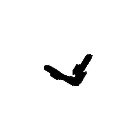 Cl.Cl.Cl.Cl.Cl.Cl.Cl.Cl.Cl.Cl.Cl.Cl.Cl.Cl.Cl.Cl.Cl.Cl.Cl.Cl.[Cl-].[Cl-].[Cl-].[Cl-].[Cl-].[Cl-].[Cl-].[Cl-].[Cl-].[Cl-].[Cl-].[Cl-].[Cl-].[Cl-].[Cl-].[Cl-].[Cl-].[Cl-].[Cl-].[Cl-].[Cl-].[Cl-].[Cl-].[Cl-].[Cl-].[Cl-].[Cl-].[Cl-].[Cl-].[Cl-].[Na+].[Na+].[Na+].[Na+].[Na+].[Na+].[Na+].[Na+].[Na+].[Na+].[Na+].[Na+].[Na+].[Na+].[Na+].[Na+].[Na+].[Na+].[Na+].[Na+].[Na+].[Na+].[Na+].[Na+].[Na+].[Na+].[Na+].[Na+].[Na+].[Na+]